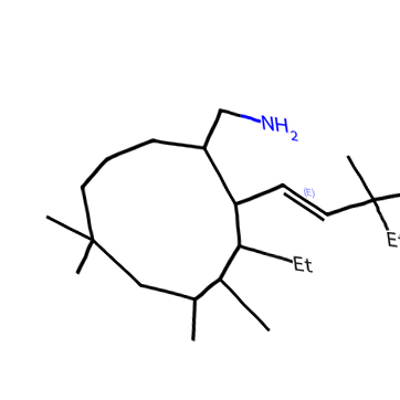 CCC1C(C)C(C)CC(C)(C)CCCC(CN)C1/C=C/C(C)(C)CC